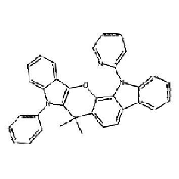 CC1(C)c2ccc3c4ccccc4n(-c4ccccn4)c3c2Oc2c1n(-c1ccccc1)c1ccccc21